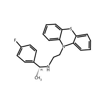 C[C@@H](NCCN1c2ccccc2Sc2ccccc21)c1ccc(F)cc1